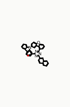 c1ccc(-c2nc(-c3ccc4ccccc4c3)nc(-c3cccc4oc5ccc(-n6c7ccccc7c7ccccc76)cc5c34)n2)cc1